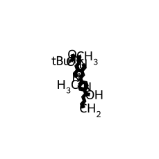 C=CCCC(O)c1cc(C)c(-c2cc3cnc(N(C)C(=O)OC(C)(C)C)cc3cn2)cn1